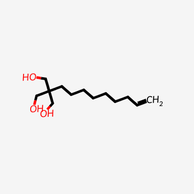 C=CCCCCCCCC(CO)(CO)CO